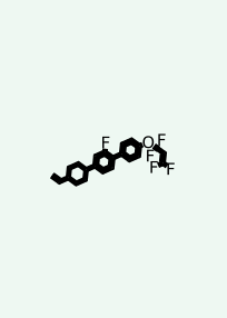 C=CC1CCC(c2ccc(-c3ccc(OC(F)(F)C=C(F)F)cc3)c(F)c2)CC1